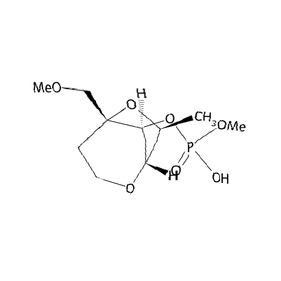 COC[C@@]12CCO[C@@H]([C@H](C)O1)[C@@H]2OP(=O)(O)OC